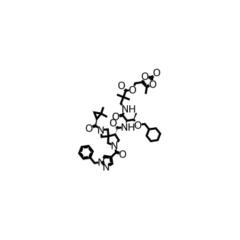 Cc1oc(=O)oc1COC(=O)C(C)(C)CNC(=O)[C@@H](NC(=O)[C@@H]1CN(C(=O)c2cnn(Cc3ccccc3)c2)CC12CN(C(=O)[C@H]1CC1(C)C)C2)[C@@H](C)OCC1CCCCC1